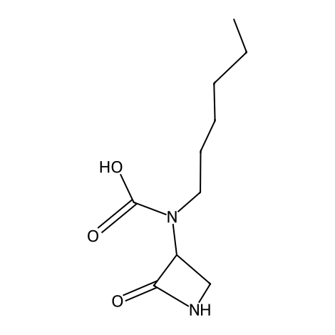 CCCCCCN(C(=O)O)C1CNC1=O